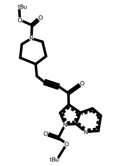 CC(C)(C)OC(=O)N1CCC(CC#CC(=O)c2cn(C(=O)OC(C)(C)C)c3ncccc23)CC1